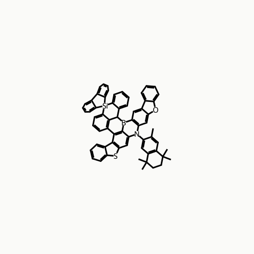 Cc1cc2c(cc1N1c3cc4oc5ccccc5c4cc3B3c4c1cc1sc5ccccc5c1c4-c1cccc4c1C3c1ccccc1[Si]41c3ccccc3-c3ccccc31)C(C)(C)CCC2(C)C